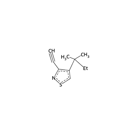 C#Cc1nscc1C(C)(C)CC